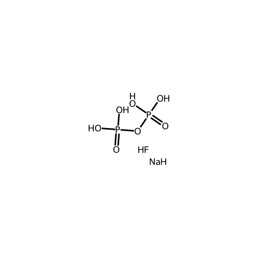 F.O=P(O)(O)OP(=O)(O)O.[NaH]